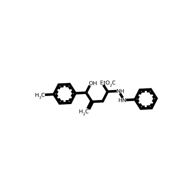 C=C(CC(NNc1ccccc1)C(=O)OCC)C(O)c1ccc(C)cc1